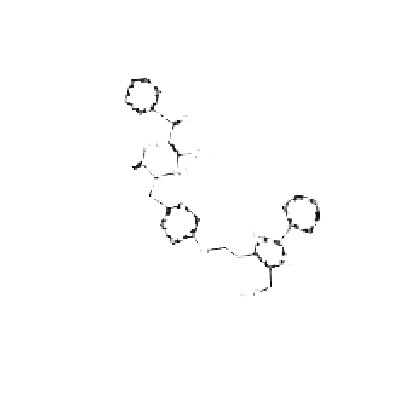 CCc1oc(-c2ccccc2)nc1CCOc1ccc(C[C@H](NC(C)=CC(=O)c2ccccc2)C(=O)O)cc1